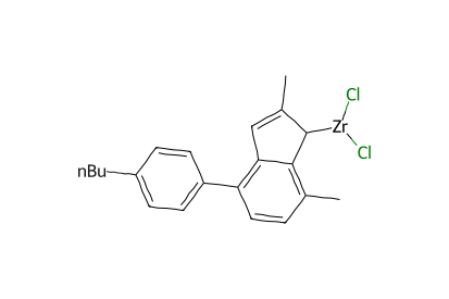 CCCCc1ccc(-c2ccc(C)c3c2C=C(C)[CH]3[Zr]([Cl])[Cl])cc1